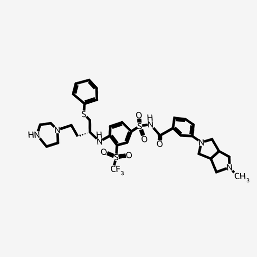 CN1CC2CN(c3cccc(C(=O)NS(=O)(=O)c4ccc(N[C@H](CCN5CCNCC5)CSc5ccccc5)c(S(=O)(=O)C(F)(F)F)c4)c3)CC2C1